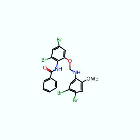 COc1cc(Br)c(Br)cc1NCOc1cc(Br)cc(Br)c1NC(=O)c1ccccc1